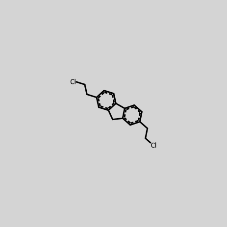 ClCCc1ccc2c(c1)Cc1cc(CCCl)ccc1-2